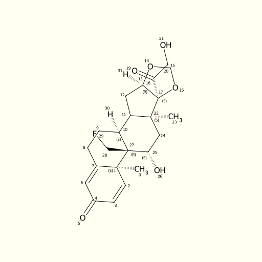 C[C@]12C=CC(=O)C=C1CC[C@H]1C3C[C@H]4OCO[C@@]4(C(=O)CO)[C@@]3(C)C[C@H](O)[C@@]12CF